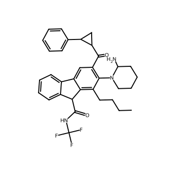 CCCCc1c2c(cc(C(=O)C3CC3c3ccccc3)c1N1CCCCC1N)-c1ccccc1C2C(=O)NC(F)(F)F